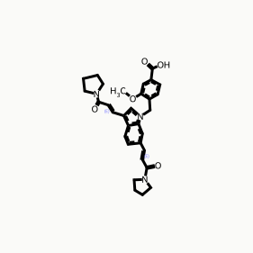 COc1cc(C(=O)O)ccc1Cn1cc(/C=C/C(=O)N2CCCC2)c2ccc(/C=C/C(=O)N3CCCC3)cc21